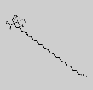 CCCCCCCCCCCCCCCCCCCC=CCCCC(CC)(P(=O)=O)[N+](C)(C)C